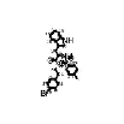 Cc1ccc(S(=O)(=O)NC(Cc2c[nH]c3ccccc23)C(=O)NCCc2ccc(Br)cc2)cc1